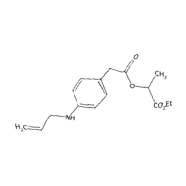 C=CCNc1ccc(CC(=O)OC(C)C(=O)OCC)cc1